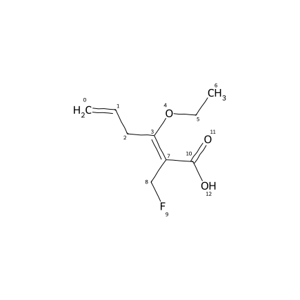 C=CCC(OCC)=C(CF)C(=O)O